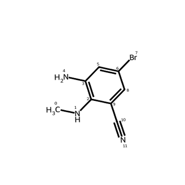 CNc1c(N)cc(Br)cc1C#N